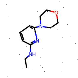 CCNc1cccc(N2CCOCC2)n1